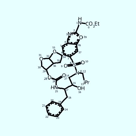 CCOC(=O)Nc1nc2ccc(S(=O)(=O)N(CC(C)C)CC(O)C(Cc3ccccc3)NC(=O)OC3COC4OCCC34)cc2o1